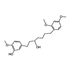 COc1ccc(CCCCC(O)CCc2ccc(OC)c(O)c2)c(OC)c1